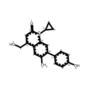 Cc1cc2c(CO)cc(=O)n(C3CC3)c2cc1-c1ccc(O)cc1